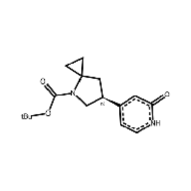 CC(C)(C)OC(=O)N1C[C@H](c2cc[nH]c(=O)c2)CC12CC2